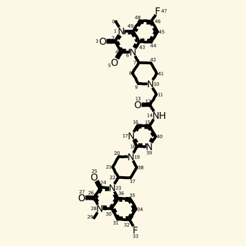 Cn1c(=O)c(=O)n(C2CCN(CC(=O)Nc3cnc(N4CCC(n5c(=O)c(=O)n(C)c6cc(F)ccc65)CC4)nc3)CC2)c2ccc(F)cc21